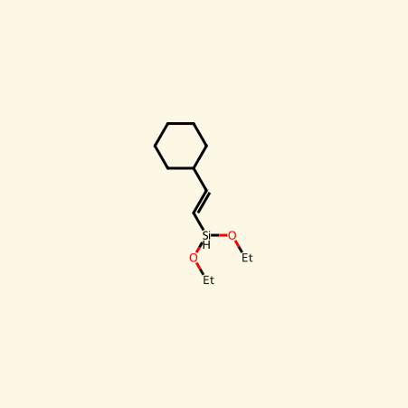 CCO[SiH](C=CC1CCCCC1)OCC